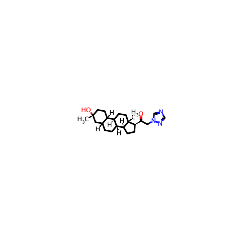 C[C@@]1(O)CC[C@H]2[C@H](CC[C@@H]3[C@@H]2CC[C@]2(C)[C@@H](C(=O)Cn4cncn4)CC[C@@H]32)C1